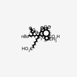 CCCC/C=C/C(CC/C(CCCCCCCC(=O)O)=C1\CC(C(C)C)C2CC(C1)C1(C)CCCC(C)(C(=O)O)C1CCCC1C(=O)OC(=O)C12)C1CC(=O)OC1=O